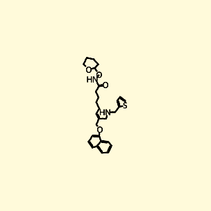 O=C(CCCCC=C(CNCc1cccs1)COc1cccc2ccccc12)NOC1CCCCO1